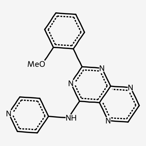 COc1ccccc1-c1nc(Nc2ccncc2)c2nccnc2n1